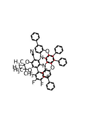 CC1(C)Oc2c(C#N)c(N3c4ccc(-c5ccccc5)cc4Oc4cc(-c5ccccc5)ccc43)c(N3c4ccc(-c5ccccc5)cc4Oc4cc(-c5ccccc5)ccc43)c(-c3c(F)c(F)c(F)c(F)c3F)c2OC1(C)C